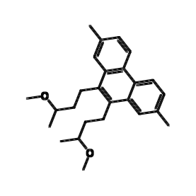 COC(C)CCc1c(CCC(C)OC)c2cc(C)ccc2c2ccc(C)cc12